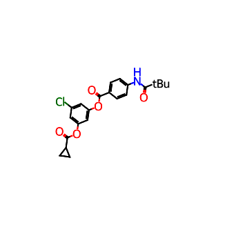 CC(C)(C)C(=O)Nc1ccc(C(=O)Oc2cc(Cl)cc(OC(=O)C3CC3)c2)cc1